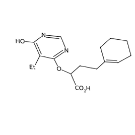 CCc1c(O)ncnc1OC(CCC1=CCCCC1)C(=O)O